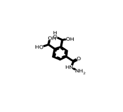 NNC(=O)c1ccc(C(O)O)c(C(O)O)c1